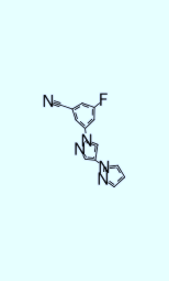 N#Cc1cc(F)cc(-n2cc(-n3cccn3)cn2)c1